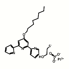 CCCCCCCCOc1cc(-c2ccccn2)nc(-c2ccccn2)c1.O=[N+]([O-])[O-].OCC[S-].[Pt+2]